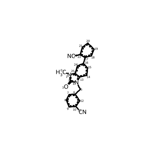 Cn1c(=O)n(Cc2cccc(C#N)c2)c2ccc(-c3ccccc3C#N)cc21